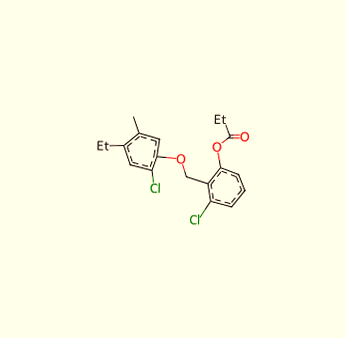 CCC(=O)Oc1cccc(Cl)c1COc1cc(C)c(CC)cc1Cl